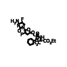 CCOC(=O)[C@H](C)N[P@@](=O)(CO[C@@H]1C=C(F)[C@H](n2cc(F)c(N)nc2=O)O1)Oc1ccccc1